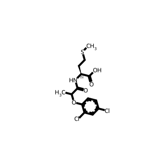 CSCC[C@H](NC(=O)C(C)Oc1ccc(Cl)cc1Cl)C(=O)O